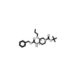 CCCO[C@H]1CN(C(=O)OC(C)(C)C)CC[C@H]1NC(=O)OCc1ccccc1